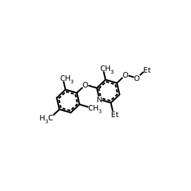 CCOOc1cc(CC)nc(Oc2c(C)cc(C)cc2C)c1C